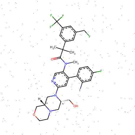 CN(C(=O)C(C)(C)c1cc(CF)cc(C(F)(F)F)c1)c1cnc(N2C[C@H]3COCCN3C[C@H]2CO)cc1-c1ccc(F)cc1I